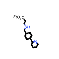 CCOC(=O)CCNCc1ccc(-c2ccccn2)cc1